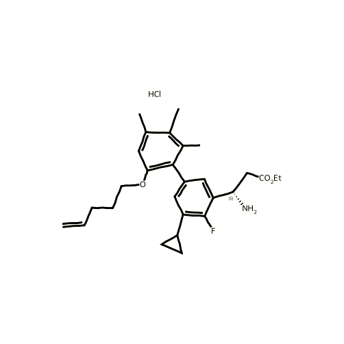 C=CCCCOc1cc(C)c(C)c(C)c1-c1cc(C2CC2)c(F)c([C@@H](N)CC(=O)OCC)c1.Cl